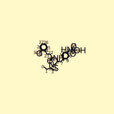 CCc1csc(C(Cc2[c]cc(NS(=O)(=O)O)cc2)NC(=O)CCc2ccccc2OC)n1